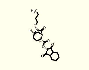 CCCCON1C(=O)N2C[C@@H]1CC[C@H]2C(=O)ON1C(=O)C2CCCCC2C1=O